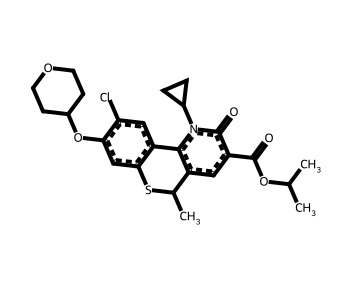 CC(C)OC(=O)c1cc2c(n(C3CC3)c1=O)-c1cc(Cl)c(OC3CCOCC3)cc1SC2C